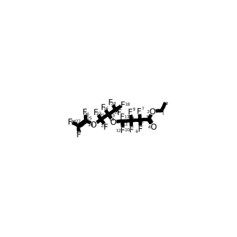 CCOC(=O)C(F)(F)C(F)(F)C(F)(F)OC(F)(C(F)(F)F)C(F)(F)OC(F)=C(F)F